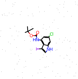 CC(C)(C)OC(=O)Nc1cc(Cl)cc2[nH]cc(I)c12